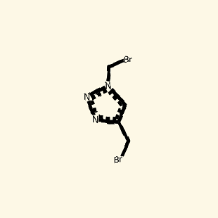 BrCc1cn(CBr)nn1